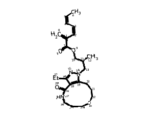 C=C(/C=C\C=C/C)C(=O)OC[C@@H](C)Cn1nc(CC)c2c1CCCOCCCNC2=O